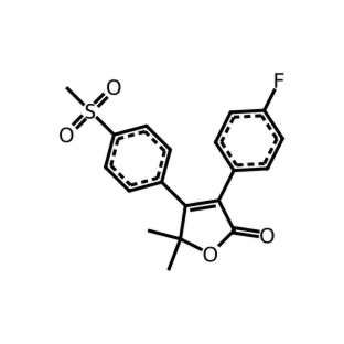 CC1(C)OC(=O)C(c2ccc(F)cc2)=C1c1ccc(S(C)(=O)=O)cc1